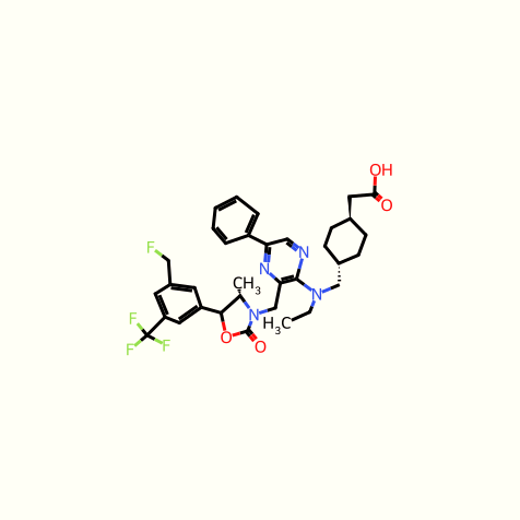 CCN(C[C@H]1CC[C@H](CC(=O)O)CC1)c1ncc(-c2ccccc2)nc1CN1C(=O)OC(c2cc(CF)cc(C(F)(F)F)c2)[C@@H]1C